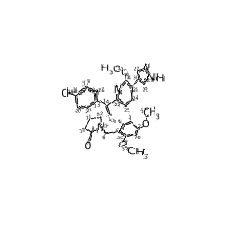 COc1ccc(CN2C(=O)CC[C@@H]2/C=C(\c2ccc(Cl)cc2)c2ccc(-c3cn[nH]c3)c(OC)n2)c(OC)c1